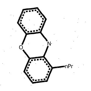 CCCc1cccc2c1[N]c1ccccc1O2